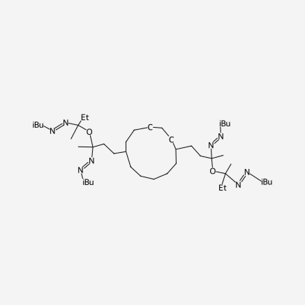 CCC(C)N=NC(C)(CC)OC(C)(CCC1CCCCCC(CCC(C)(N=NC(C)CC)OC(C)(CC)N=NC(C)CC)CCCCC1)N=NC(C)CC